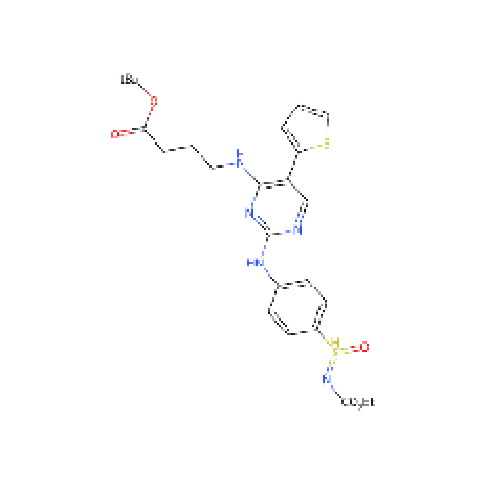 CCOC(=O)N=[SH](=O)c1ccc(Nc2ncc(-c3cccs3)c(NCCCC(=O)OC(C)(C)C)n2)cc1